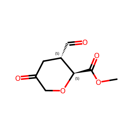 COC(=O)[C@H]1OCC(=O)C[C@@H]1C=O